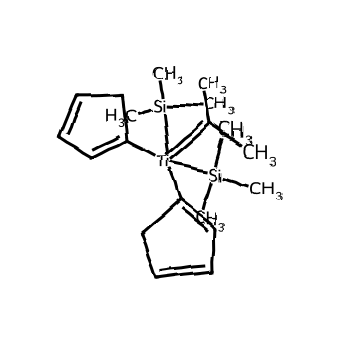 C[C](C)=[Ti]([C]1=CC=CC1)([C]1=CC=CC1)([Si](C)(C)C)[Si](C)(C)C